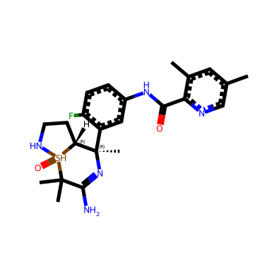 Cc1cnc(C(=O)Nc2ccc(F)c([C@@]3(C)N=C(N)C(C)(C)[SH]4(=O)NCC[C@H]34)c2)c(C)c1